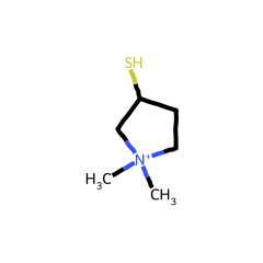 C[N+]1(C)CCC(S)C1